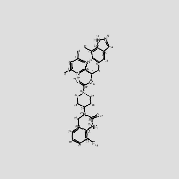 Cc1cc(C)nc(C(Cc2cc(C)c3[nH]ncc3c2)OC(=O)N2CCC(N3Cc4cccc(F)c4NC3=O)CC2)n1